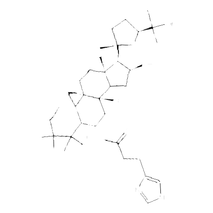 CC(C)(O)[C@@H]1CC[C@@](C)([C@H]2[C@@H](O)C[C@@]3(C)[C@@H]4C[C@H](OC(=O)CCc5c[nH]cn5)[C@H]5C(C)(C)C(F)(F)CC[C@@]56C[C@@]46CC[C@]23C)O1